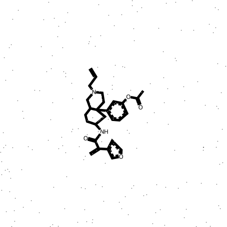 C=CCN1CCC2(c3cccc(OC(C)=O)c3)CC(NC(=O)C(=C)c3ccoc3)CCC2C1